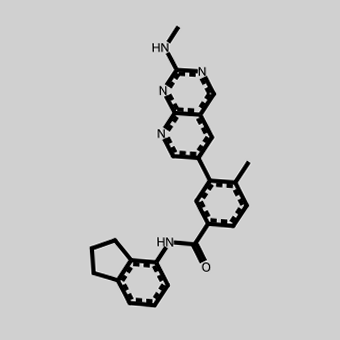 CNc1ncc2cc(-c3cc(C(=O)Nc4cccc5c4CCC5)ccc3C)cnc2n1